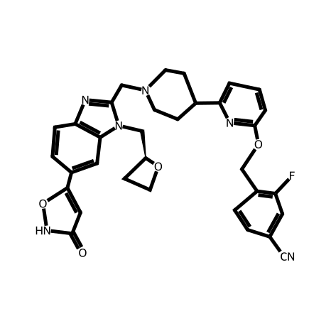 N#Cc1ccc(COc2cccc(C3CCN(Cc4nc5ccc(-c6cc(=O)[nH]o6)cc5n4C[C@@H]4CCO4)CC3)n2)c(F)c1